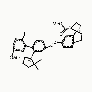 COC(=O)[C@@H]1CC[C@@]12CCc1ccc(OCc3ccc(-c4cc(OC)ccc4F)c([C@@H]4CCCC4(C)C)c3)cc12